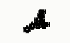 O=C(NC1CCN(C2CCCCC2)CC1)c1cc(-c2ccc(O)cc2)nc2[nH]ncc12